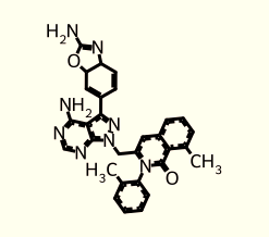 Cc1ccccc1-n1c(Cn2nc(C3=CC4OC(N)=NC4C=C3)c3c(N)ncnc32)cc2cccc(C)c2c1=O